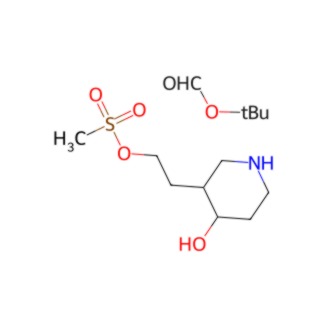 CC(C)(C)OC=O.CS(=O)(=O)OCCC1CNCCC1O